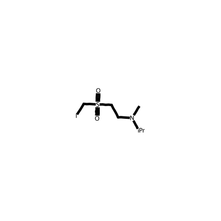 CC(C)N(C)CCS(=O)(=O)CI